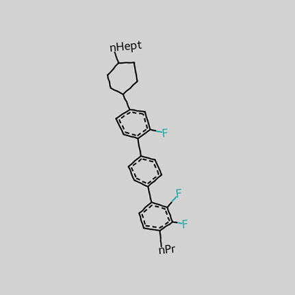 CCCCCCCC1CCC(c2ccc(-c3ccc(-c4ccc(CCC)c(F)c4F)cc3)c(F)c2)CC1